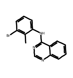 Cc1c(Br)cccc1Nc1ncnc2ccccc12